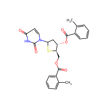 Cc1ccccc1C(=O)OC[C@H]1SC(n2ccc(=O)[nH]c2=O)C[C@@H]1OC(=O)c1ccccc1C